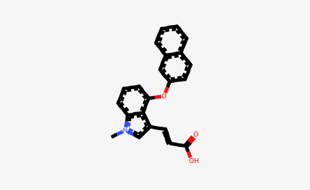 Cn1cc(C=CC(=O)O)c2c(Oc3ccc4ccccc4c3)cccc21